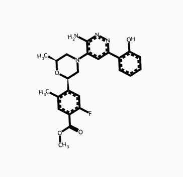 COC(=O)c1cc(C)c([C@@H]2CN(c3cc(-c4ccccc4O)nnc3N)C[C@H](C)O2)cc1F